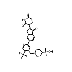 CC(C)(O)C1CCN(Cc2cc(-c3ccc4c(c3)CN(C3CCC(=O)NC3=O)C4=O)ncc2C(F)(F)F)CC1